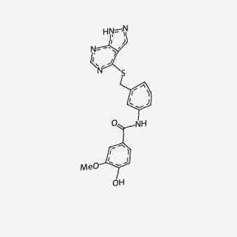 COc1cc(C(=O)Nc2cccc(CSc3ncnc4[nH]ncc34)c2)ccc1O